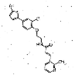 CC(=O)c1ccc(-c2ccc(OCCNC(=O)/C=C/c3cccnc3C)c(Cl)c2)s1